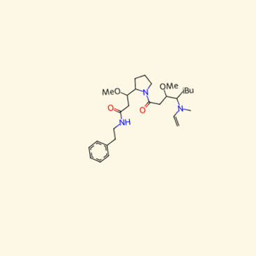 C=CN(C)C(C(C)CC)C(CC(=O)N1CCCC1C(CC(=O)NCCc1ccccc1)OC)OC